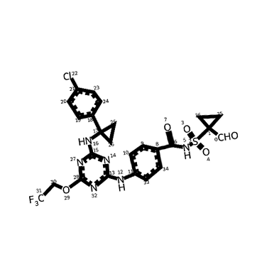 O=CC1(S(=O)(=O)NC(=O)c2ccc(Nc3nc(NC4(c5ccc(Cl)cc5)CC4)nc(OCC(F)(F)F)n3)cc2)CC1